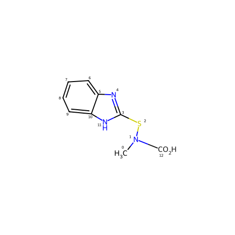 CN(Sc1nc2ccccc2[nH]1)C(=O)O